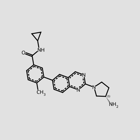 Cc1ccc(C(=O)NC2CC2)cc1-c1ccc2nc(N3CC[C@H](N)C3)ncc2c1